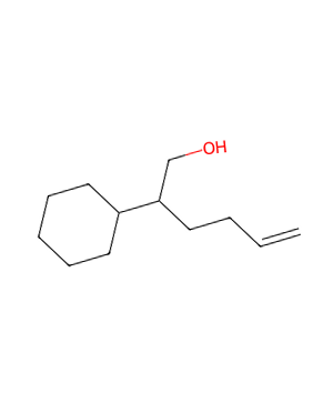 C=CCCC(CO)C1CCCCC1